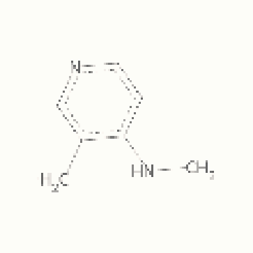 [CH2]c1cnccc1NC